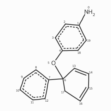 Nc1ccc(OC2(c3ccccc3)C=CC=CC2)cc1